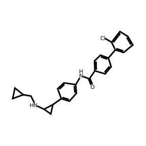 O=C(Nc1ccc(C2CC2NCC2CC2)cc1)c1ccc(-c2ccccc2Cl)cc1